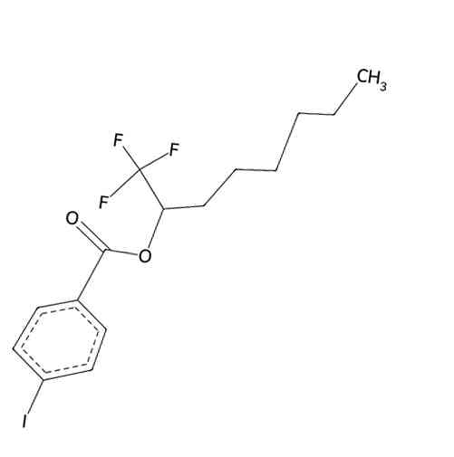 CCCCCCC(OC(=O)c1ccc(I)cc1)C(F)(F)F